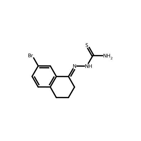 NC(=S)N/N=C1\CCCc2ccc(Br)cc21